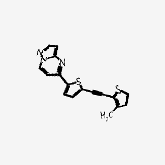 Cc1ccsc1C#Cc1ccc(-c2ccn3nccc3n2)s1